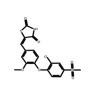 COc1cc(/C=C2/SC(=O)NC2=O)ccc1Oc1ccc(S(C)(=O)=O)cc1Cl